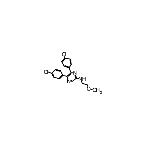 COCCNc1cnc(-c2ccc(Cl)cc2)c(-c2ccc(Cl)cc2)n1